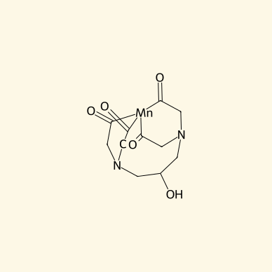 O=[C]1CN2C[C](=O)[Mn]13[C](=O)CN(C[C]3=O)CC(O)C2